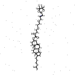 CC(C)CCCCC1CCC2C3CC=C4CC(OC(=O)NCCOCCOC/C=C/B5OC(C)(C)C(C)(C)O5)CCC4(C)C3CCC12C